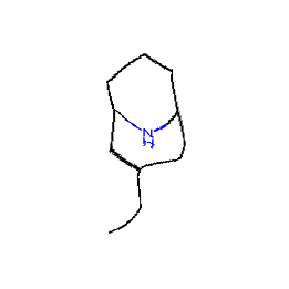 CCC1CC2CCCC(C1)N2